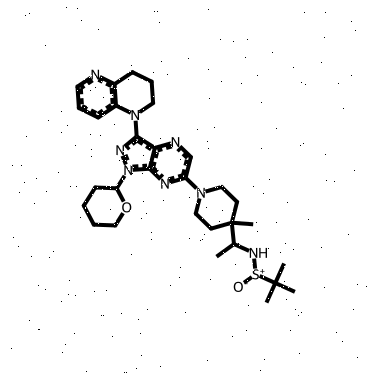 CC(N[S+]([O-])C(C)(C)C)C1(C)CCN(c2cnc3c(N4CCCc5ncccc54)nn(C4CCCCO4)c3n2)CC1